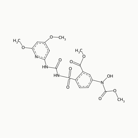 COC(=O)c1cc(N(O)C(=O)OC)ccc1S(=O)(=O)NC(=O)Nc1cc(OC)cc(OC)n1